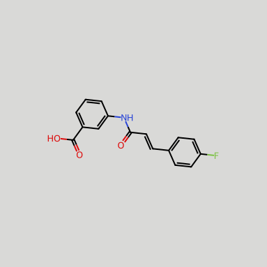 O=C(C=Cc1ccc(F)cc1)Nc1cccc(C(=O)O)c1